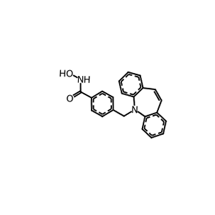 O=C(NO)c1ccc(CN2c3ccccc3C=Cc3ccccc32)cc1